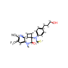 CN(C(=O)C1(N(C=S)c2ccc(CCCO)cc2)CCC1)c1cnc(C#N)c(C(F)(F)F)c1